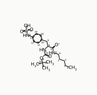 CCCCCNC(=O)C(Cc1ccc(NS(=O)(=O)O)cc1)NC(=O)OC(C)(C)C